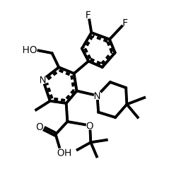 Cc1nc(CO)c(-c2ccc(F)c(F)c2)c(N2CCC(C)(C)CC2)c1C(OC(C)(C)C)C(=O)O